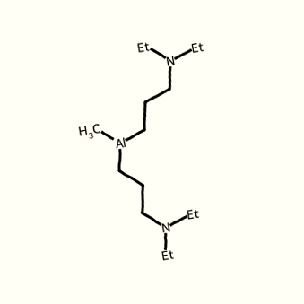 CCN(CC)CC[CH2][Al]([CH3])[CH2]CCN(CC)CC